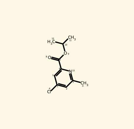 Cc1cc(Cl)cc(C(=O)OC(C)C)n1